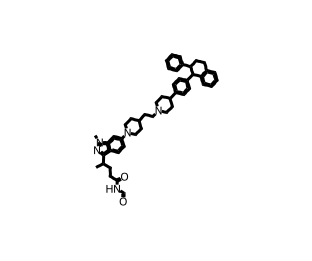 CC(CCC(=O)NC=O)c1nn(C)c2cc(N3CCC(CCN4CCC(c5ccc(C6c7ccccc7CCC6c6ccccc6)cc5)CC4)CC3)ccc12